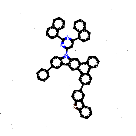 c1ccc(-c2ccc3c(c2)c2cc4c5cc(-c6ccc7sc8ccccc8c7c6)ccc5c5ccccc5c4cc2n3-c2cc(-c3cccc4ccccc34)nc(-c3cccc4ccccc34)n2)cc1